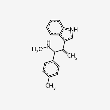 C=C(c1c[nH]c2ccccc12)C(NC)c1ccc(C)cc1